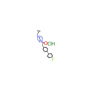 Cl.O=C(Cc1ccc(-c2ccc(F)cc2)cc1)N1CCN(CC2CC2)CC1